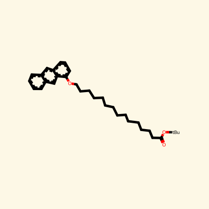 CC(C)(C)OC(=O)CCCCCCCCCCCCCCOc1cccc2cc3ccccc3cc12